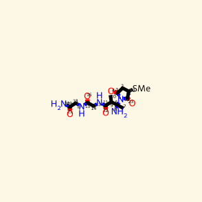 CSC1CC(=O)N(C(C)(N)C(C)C(=O)NCC(=O)NCC(N)=O)C1=O